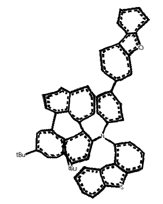 CC(C)(C)c1cc(-c2cccc3cccc(-c4ccccc4N(c4ccc(-c5ccc6c(c5)oc5ccccc56)cc4)c4cccc5sc6ccccc6c45)c23)cc(C(C)(C)C)c1